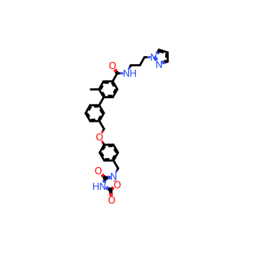 Cc1cc(C(=O)NCCCn2cccn2)ccc1-c1cccc(COc2ccc(Cn3oc(=O)[nH]c3=O)cc2)c1